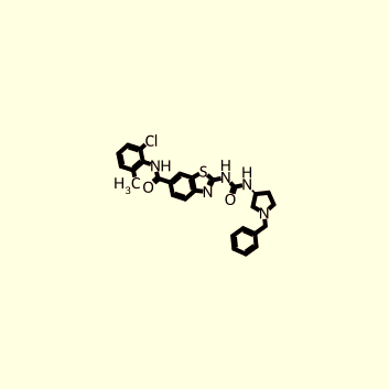 Cc1cccc(Cl)c1NC(=O)c1ccc2nc(NC(=O)N[C@@H]3CCN(Cc4ccccc4)C3)sc2c1